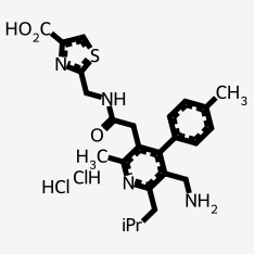 Cc1ccc(-c2c(CC(=O)NCc3nc(C(=O)O)cs3)c(C)nc(CC(C)C)c2CN)cc1.Cl.Cl